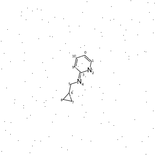 C1=C[N]/C(=N/CC2CC2)C=C1